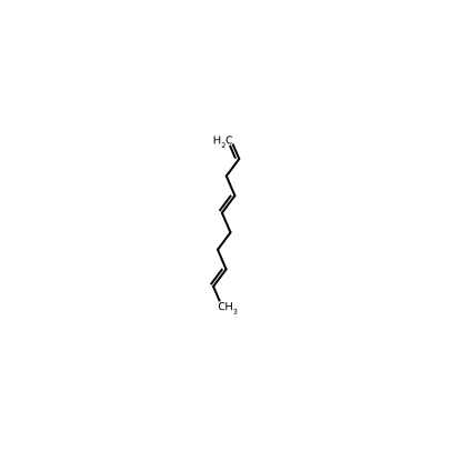 C=CCC=CCCC=CC